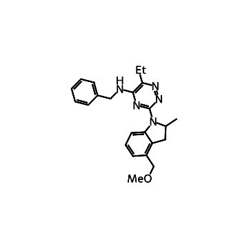 CCc1nnc(N2c3cccc(COC)c3CC2C)nc1NCc1ccccc1